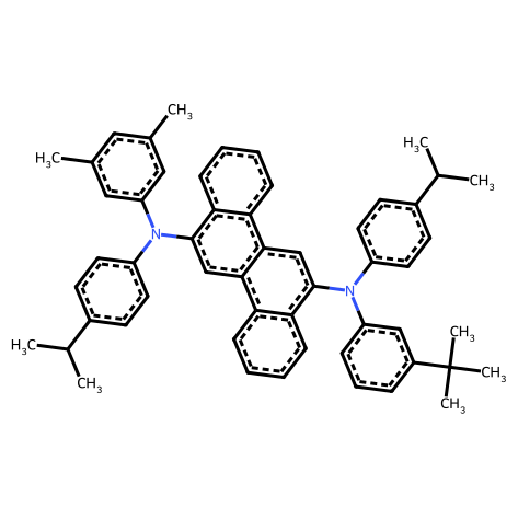 Cc1cc(C)cc(N(c2ccc(C(C)C)cc2)c2cc3c4ccccc4c(N(c4ccc(C(C)C)cc4)c4cccc(C(C)(C)C)c4)cc3c3ccccc23)c1